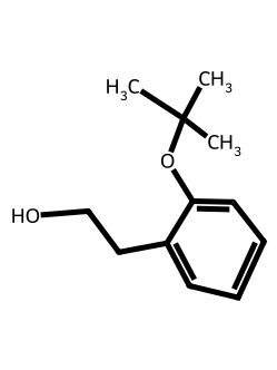 CC(C)(C)Oc1ccccc1CCO